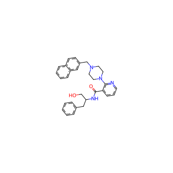 O=C(NC(CO)Cc1ccccc1)c1cccnc1N1CCN(Cc2ccc3ccccc3c2)CC1